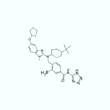 Bc1cc(C(=O)Nc2nnn[nH]2)ccc1CN(c1nc2cc(OC3CCCC3)ccc2n1C)C1CCC(C(C)(C)C)CC1